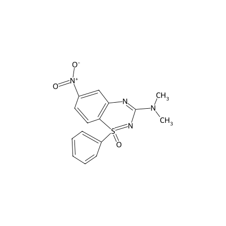 CN(C)C1=Nc2cc([N+](=O)[O-])ccc2S(=O)(c2ccccc2)=N1